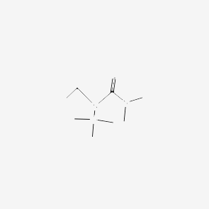 CCN(C(=O)N(C)C)[Si](C)(C)C